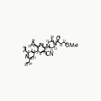 C=Cc1cc(-c2cc(C#N)c(N3CCN(C(=O)CCOC)C(C)C3)nc2C2CC2)cc(C=C)n1